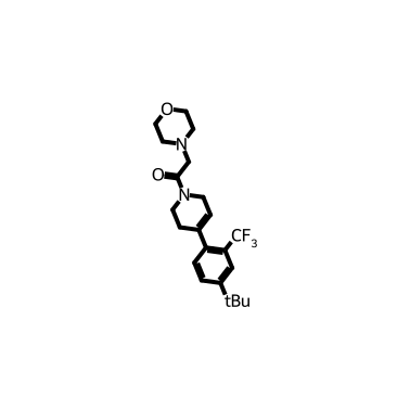 CC(C)(C)c1ccc(C2=CCN(C(=O)CN3CCOCC3)CC2)c(C(F)(F)F)c1